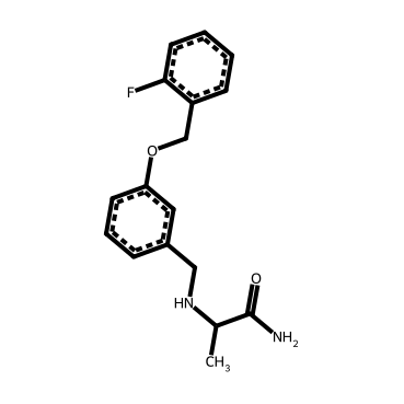 CC(NCc1cccc(OCc2ccccc2F)c1)C(N)=O